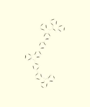 c1ccc2c(c1)cc(-n1c3ccccc3c3cc(-c4ccc(-c5ccc6c(c5)c5ccccc5n6-c5ccc(-c6ccc7c8cccc9c%10ccccc%10n(c7c6)c98)cc5)cc4)ccc31)c1ccccc12